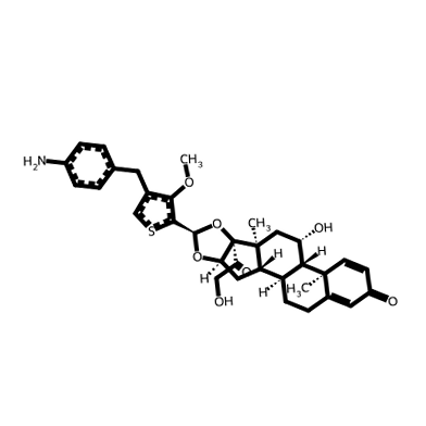 COc1c(Cc2ccc(N)cc2)csc1[C@@H]1O[C@@H]2C[C@H]3[C@@H]4CCC5=CC(=O)C=C[C@]5(C)[C@H]4[C@@H](O)C[C@]3(C)[C@]2(C(=O)CO)O1